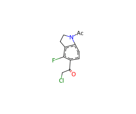 CC(=O)N1CCc2c1ccc(C(=O)CCl)c2F